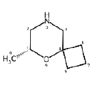 C[C@@H]1CNCC2(CCC2)O1